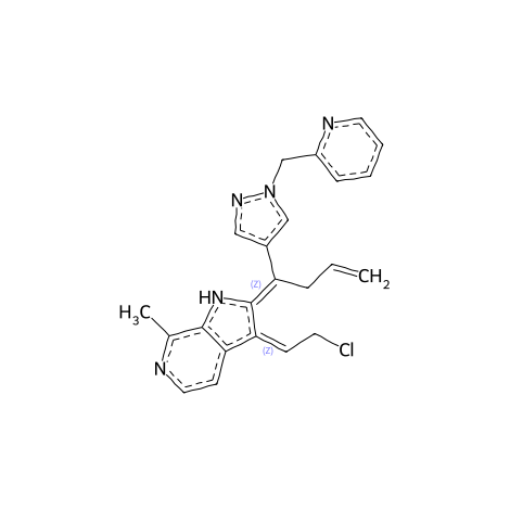 C=CC/C(c1cnn(Cc2ccccn2)c1)=c1/[nH]c2c(C)nccc2/c1=C/CCl